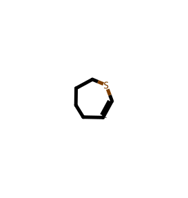 [C]1=CSCCCC1